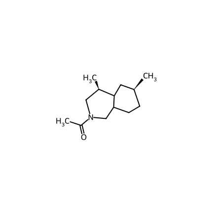 CC(=O)N1CC2CC[C@H](C)CC2[C@H](C)C1